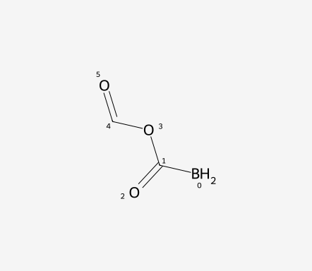 BC(=O)OC=O